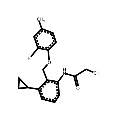 CCC(=O)Nc1cccc(C2CC2)c1COc1ccc(C)cc1F